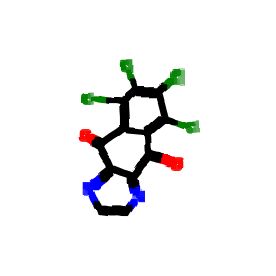 O=C1c2nccnc2C(=O)c2c(Cl)c(Cl)c(Cl)c(Cl)c21